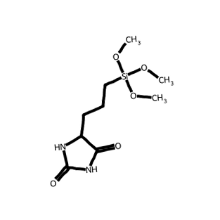 CO[Si](CCCC1NC(=O)NC1=O)(OC)OC